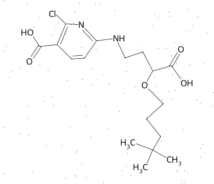 CC(C)(C)CCCOC(CCNc1ccc(C(=O)O)c(Cl)n1)C(=O)O